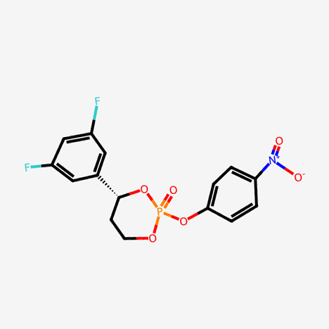 O=[N+]([O-])c1ccc(OP2(=O)OCC[C@H](c3cc(F)cc(F)c3)O2)cc1